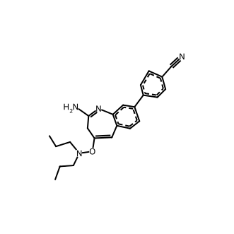 CCCN(CCC)OC1=Cc2ccc(-c3ccc(C#N)cc3)cc2N=C(N)C1